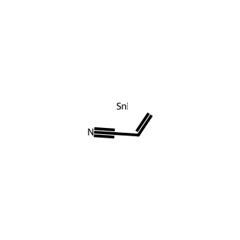 C=CC#N.[Sn]